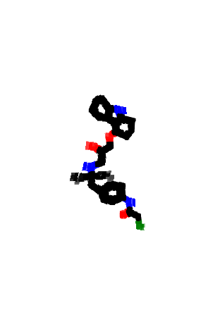 CC(C)(Cc1ccc(NC(=O)CBr)cc1)NCC(O)COc1cccc2[nH]c3ccccc3c12